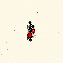 CCC(CC(C1=CCCC=C1)C1C(=O)OC(=O)C1CC(CC(c1ccccc1)C1C(=O)OC(=O)C1C(CC(CC1C(=O)OC(=O)C1C(CC(C)c1ccccc1)c1ccccc1)c1ccccc1)c1ccccc1)c1ccccc1)c1ccccc1